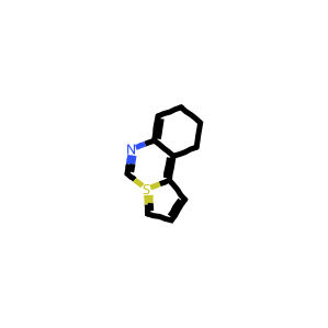 C1=CC2=C3CCCC=C3N=CS2=C1